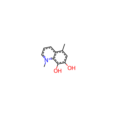 Cc1cc(O)c(O)c2c1ccc[n+]2C